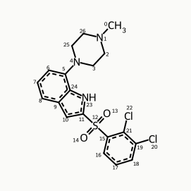 CN1CCN(c2cccc3cc(S(=O)(=O)c4cccc(Cl)c4Cl)[nH]c23)CC1